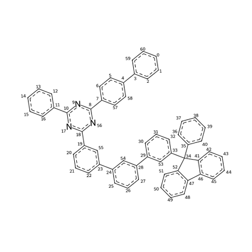 c1ccc(-c2ccc(-c3nc(-c4ccccc4)nc(-c4cccc(-c5cccc(-c6cccc(C7(c8ccccc8)c8ccccc8-c8ccccc87)c6)c5)c4)n3)cc2)cc1